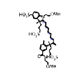 C=C(/C=C/C=C/C=C/C=C1/N(CCOC)c2ccc(S(=O)(=O)O)cc2C1(C)CCCS(=O)(=O)O)C(C)(CCCS(=O)(=O)O)c1cc(C(=O)NCCOC)ccc1C